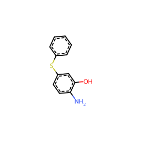 Nc1ccc(Sc2ccccc2)cc1O